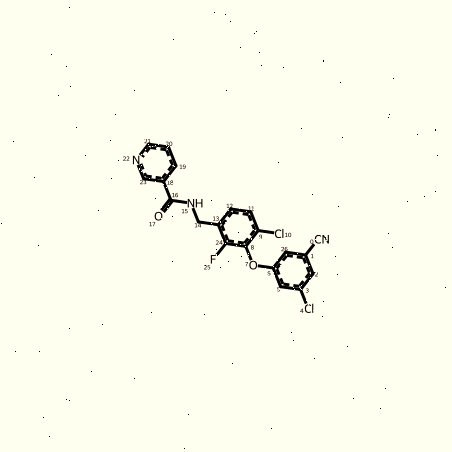 N#Cc1cc(Cl)cc(Oc2c(Cl)ccc(CNC(=O)c3cccnc3)c2F)c1